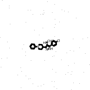 O=CNc1c(C2CCN(c3ccccc3)CC2)n[nH]c1-c1ccc(Cl)cc1